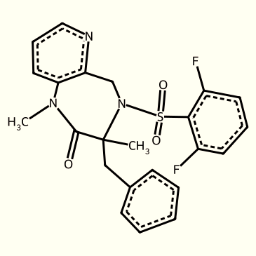 CN1C(=O)C(C)(Cc2ccccc2)N(S(=O)(=O)c2c(F)cccc2F)Cc2ncccc21